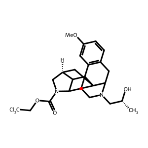 COc1ccc2c(c1)C13CCN(C[C@@H](C)O)C(C2)C12CCC1C3[C@@H](CN1C(=O)OCC(Cl)(Cl)Cl)C2